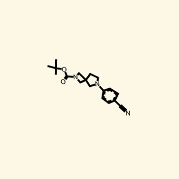 CC(C)(C)OC(=O)N1CC2(CCN(c3ccc(C#N)cc3)C2)C1